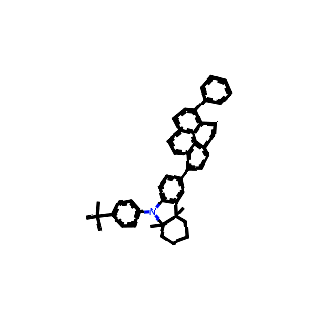 CC(C)(C)c1ccc(N2c3ccc(-c4ccc5ccc6c(-c7ccccc7)ccc7ccc4c5c76)cc3C3(C)CCCCC23C)cc1